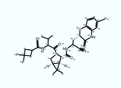 CC(C)C(NC(=O)C1CC(F)(F)C1)C(=O)N1C[C@H]2[C@@H]([C@H]1C(=O)NC(C#N)C[C@@H]1Oc3ccc(F)cc3NC1=O)C2(C)C